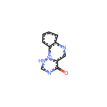 O=c1nc[nH][n+]2c1cnc1ccccc12